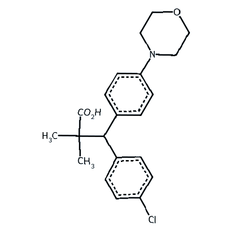 CC(C)(C(=O)O)C(c1ccc(Cl)cc1)c1ccc(N2CCOCC2)cc1